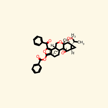 CC(C)[C@]12C[C@H]1[C@@H]1O[C@@]13[C@@]1(C)CCc4c(OC(=O)c5ccccc5)oc(C(=O)c5ccccc5)c4[C@@H]1CO[C@]3(C)[C@@H]2O